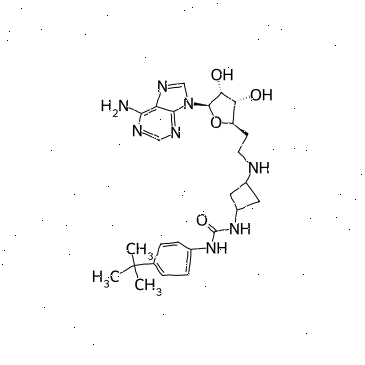 CC(C)(C)c1ccc(NC(=O)NC2CC(NCC[C@H]3O[C@@H](n4cnc5c(N)ncnc54)[C@H](O)[C@@H]3O)C2)cc1